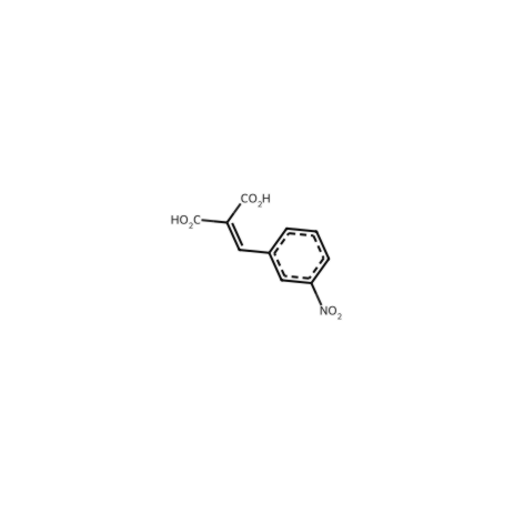 O=C(O)C(=Cc1cccc([N+](=O)[O-])c1)C(=O)O